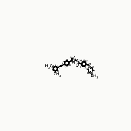 Cc1cc(C)cc(C#Cc2ccc(-c3csc(NC(=O)c4ccc(CN5CCN(C)CC5)cc4)n3)cc2)c1